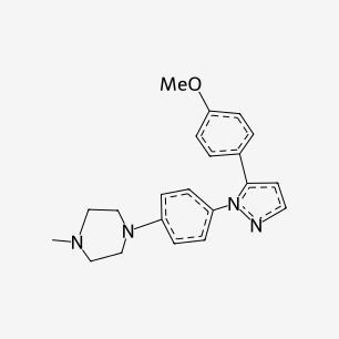 COc1ccc(-c2ccnn2-c2ccc(N3CCN(C)CC3)cc2)cc1